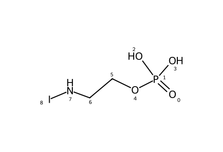 O=P(O)(O)OCCNI